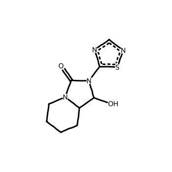 O=C1N2CCCCC2C(O)N1c1ncns1